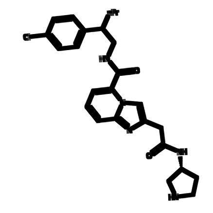 CCCC(CNC(=O)c1cccc2nc(CC(=O)N[C@@H]3CCNC3)cn12)c1ccc(Cl)cc1